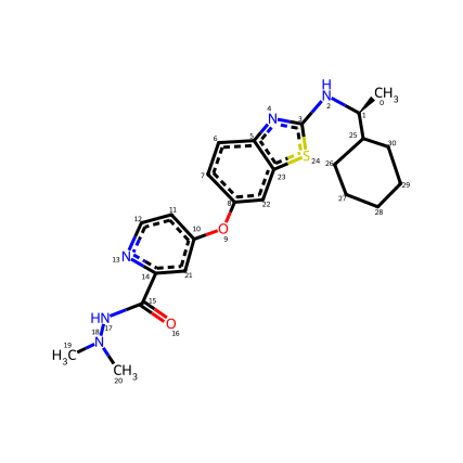 C[C@H](Nc1nc2ccc(Oc3ccnc(C(=O)NN(C)C)c3)cc2s1)C1CCCCC1